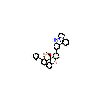 CC1(Nc2ccc(-c3ccc4c(c3)C3(c5ccccc5S4)c4ccccc4Sc4c(-c5ccccc5)cccc43)cc2-c2ccccc2)C=CC=CC1